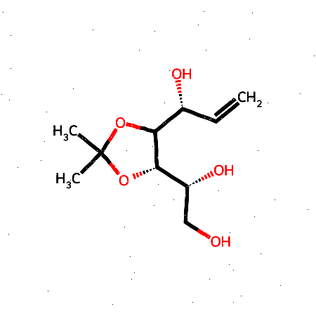 C=C[C@@H](O)C1OC(C)(C)O[C@H]1[C@H](O)CO